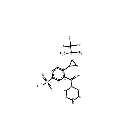 CC(C)([C@@H]1CC1c1ccc(S(C)(=O)=O)cc1C(=O)N1CCNCC1)C(F)(F)F